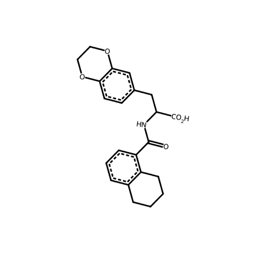 O=C(NC(Cc1ccc2c(c1)OCCO2)C(=O)O)c1cccc2c1CCCC2